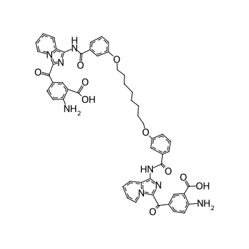 Nc1ccc(C(=O)c2nc(NC(=O)c3cccc(OCCCCCCCCOc4cccc(C(=O)Nc5nc(C(=O)c6ccc(N)c(C(=O)O)c6)n6ccccc56)c4)c3)c3ccccn23)cc1C(=O)O